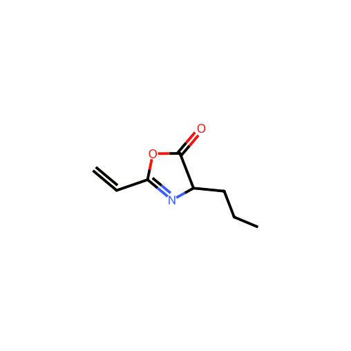 C=CC1=NC(CCC)C(=O)O1